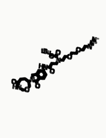 CC(C)(C)OC(=O)N(CCOCCOCCN=[N+]=[N-])CCC(=O)Nc1ccc2c(c1)CN(C1CCC(=O)NCOC1)C2=O